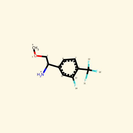 COCC(N)c1ccc(C(F)(F)F)c(F)c1